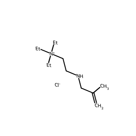 C=C(C)CNCC[N+](CC)(CC)CC.[Cl-]